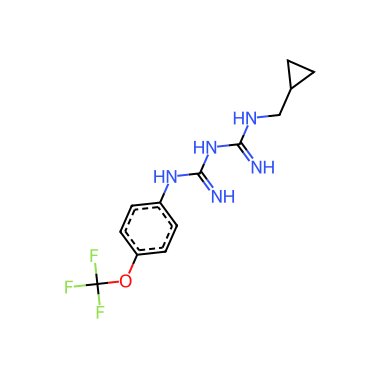 N=C(NCC1CC1)NC(=N)Nc1ccc(OC(F)(F)F)cc1